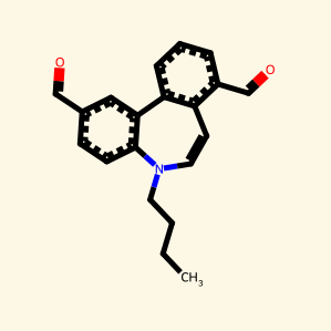 CCCCN1C=Cc2c(C=O)cccc2-c2cc(C=O)ccc21